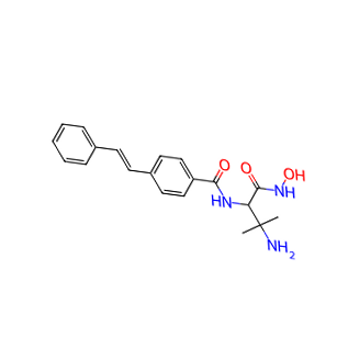 CC(C)(N)C(NC(=O)c1ccc(/C=C/c2ccccc2)cc1)C(=O)NO